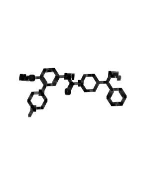 COc1ccc(NC(=O)N2CCC(C(N)c3ccccc3)CC2)cc1N1CCN(C)CC1